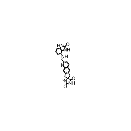 CN1C(=O)NC(=O)C12Cc1cc3ccc(CNc4cccc5[nH]c(=O)[nH]c45)nc3cc1C2